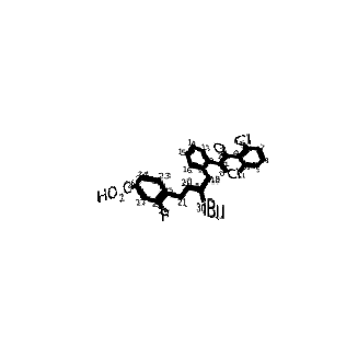 C=C(C(=O)c1c(Cl)cccc1Cl)c1ccccc1CC(CCc1ccc(C(=O)O)cc1F)C(C)CC